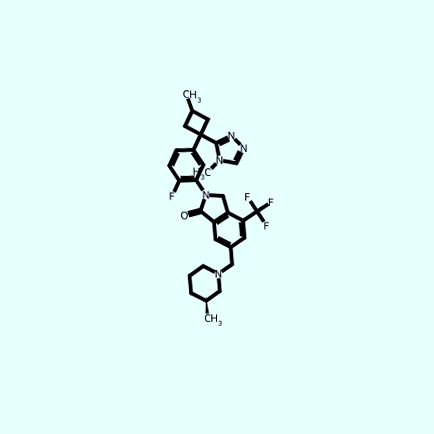 CC1CC(c2ccc(F)c(N3Cc4c(cc(CN5CCC[C@H](C)C5)cc4C(F)(F)F)C3=O)c2)(c2nncn2C)C1